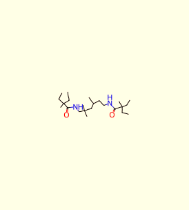 CCC(C)(CC)C(=O)NCCC(C)CC(C)(C)CNC(=O)C(C)(CC)CC